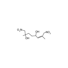 CC(=CC(O)CCC(C)(O)C[N+](=O)[O-])C[N+](=O)[O-]